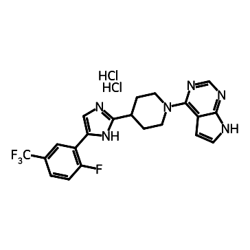 Cl.Cl.Fc1ccc(C(F)(F)F)cc1-c1cnc(C2CCN(c3ncnc4[nH]ccc34)CC2)[nH]1